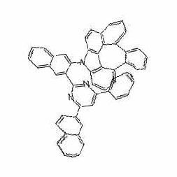 c1ccc(-c2cc(-c3ccc4ccccc4c3)nc(-c3cc4ccccc4cc3-n3c4cccc5c4c4c6c(cccc6ccc43)-c3ccccc3-5)n2)cc1